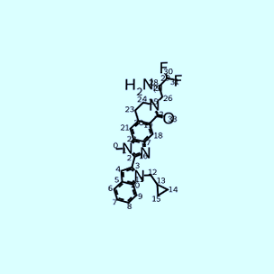 Cn1c(-c2cc3ccccc3n2CC2CC2)nc2cc3c(cc21)CCN(C[C@H](N)C(F)F)C3=O